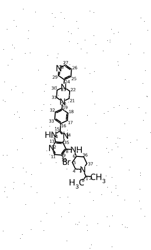 CC(C)N1CCC(Nc2c(Br)cnc3[nH]c(-c4ccc(N5CCN(c6cccnc6)CC5)cc4)nc23)CC1